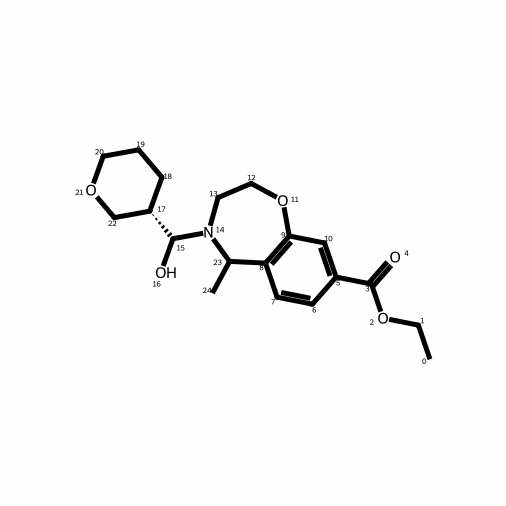 CCOC(=O)c1ccc2c(c1)OCCN(C(O)[C@H]1CCCOC1)C2C